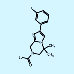 CCC(=O)N1Cc2nc(-c3cccc(F)c3)cn2C(C)(C)C1